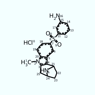 Cl.Cn1c2c(c3cc(S(=O)(=O)c4cccc(N)c4)ccc31)C1CCC(C2)N1